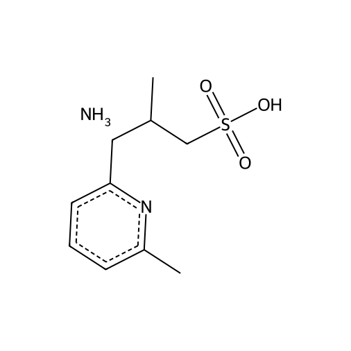 Cc1cccc(CC(C)CS(=O)(=O)O)n1.N